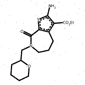 CCOC(=O)c1c(N)sc2c1CCCN(CC1CCCCO1)C2=O